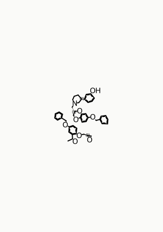 CC(=O)c1cc(OCc2ccccc2)ccc1OC[C@H]1CO1.Oc1cccc([C@H]2CCCN(C[C@H]3COc4ccc(OCc5ccccc5)cc4O3)C2)c1